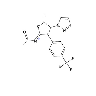 C=C1S/C(=N\C(C)=O)N(c2ccc(C(F)(F)F)cc2)C1n1cccn1